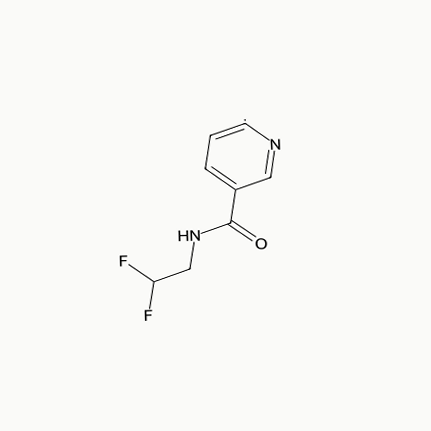 O=C(NCC(F)F)c1cc[c]nc1